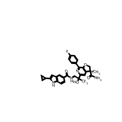 C[C@]1(C(N)=O)COc2c1cc(C(O)(CNC(=O)c1ccc3[nH]c(C4CC4)cc3c1)C(F)(F)F)nc2-c1ccc(F)cc1